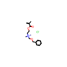 C=C(C)C(=O)OCC[N+](C)(C)COCc1ccccc1.[Cl-]